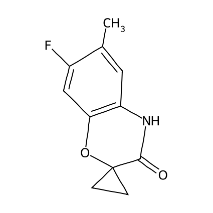 Cc1cc2c(cc1F)OC1(CC1)C(=O)N2